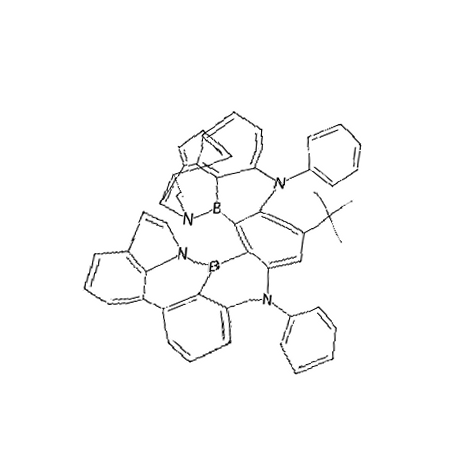 CC(C)(C)c1cc2c(c3c1N(c1ccccc1)c1cccc4c1B3n1ccc3cccc-4c31)B1c3c(cccc3N2c2ccccc2)-c2cccc3ccn1c23